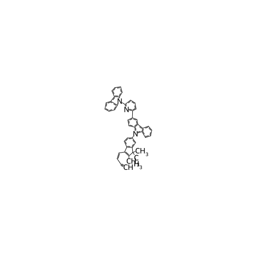 C#C/C=C\C1=C(C)C(C)(C)c2cc(-n3c4ccccc4c4cc(-c5cccc(-n6c7ccccc7c7ccccc76)n5)ccc43)ccc21